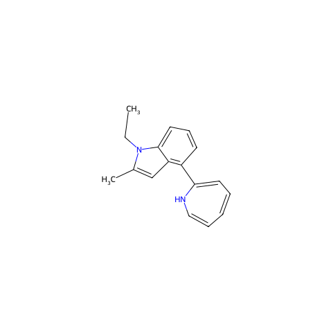 CCn1c(C)cc2c(C3=CC=CC=CN3)cccc21